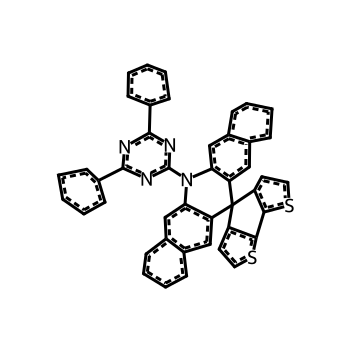 c1ccc(-c2nc(-c3ccccc3)nc(N3c4cc5ccccc5cc4C4(c5cc6ccccc6cc53)c3ccsc3-c3sccc34)n2)cc1